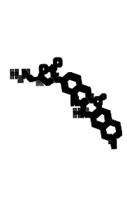 COc1cc2c(cc1Nc1ncc3ccc(N4C[C@H](CN)OC4=O)cc3n1)CN(C)CC2